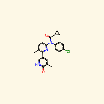 Cc1ccc(N(C(=O)C2CC2)c2ccc(Cl)cc2)nc1-c1c[nH]c(=O)c(C)c1